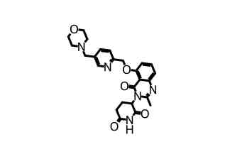 Cc1nc2cccc(OCc3ccc(CN4CCOCC4)cn3)c2c(=O)n1C1CCC(=O)NC1=O